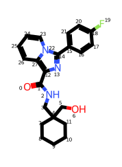 O=C(NCC1(CO)CCCCC1)c1nc(-c2ccc(F)cc2)n2ccccc12